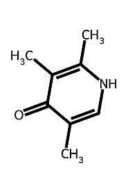 Cc1[nH]cc(C)c(=O)c1C